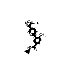 Cc1ccc(C(=O)NC2CC2)cc1-c1ccc(-c2nnoc2C)cn1